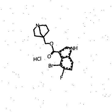 Cl.O=C(OCC12CCN(CC1)CC2)c1c[nH]c2ccc(F)c(Br)c12